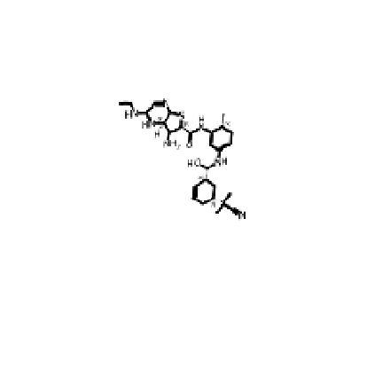 CCNC1C=NC2S[C@@H](C(=O)NC3=CC(NC(O)[C@H]4C=CC[C@@H](C(C)(C)C#N)C4)=CC[C@@H]3C)C(N)[C@H]2N1